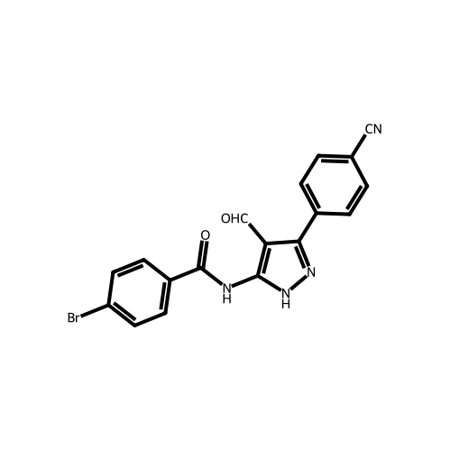 N#Cc1ccc(-c2n[nH]c(NC(=O)c3ccc(Br)cc3)c2C=O)cc1